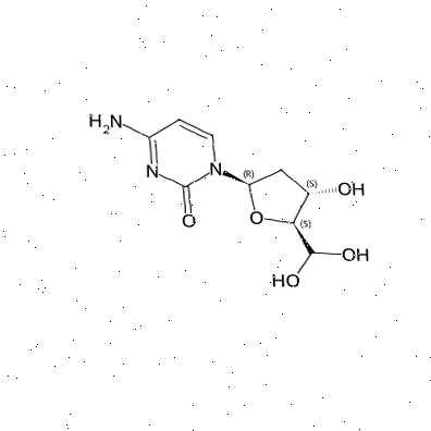 Nc1ccn([C@H]2C[C@H](O)[C@@H](C(O)O)O2)c(=O)n1